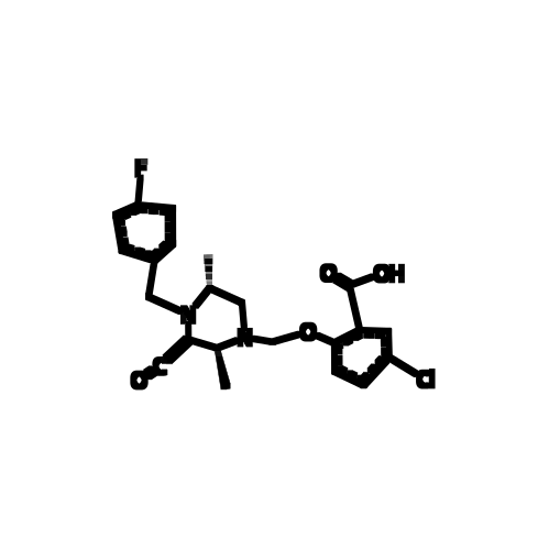 C[C@@H]1CN(COc2ccc(Cl)cc2C(=O)O)[C@@H](C)C(=C=O)N1Cc1ccc(F)cc1